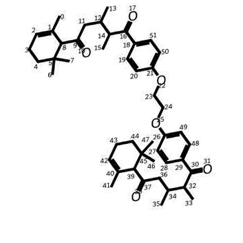 CC1=CCCC(C)(C)C1C(=O)CC(C)C(C)C(=O)c1ccc(OCCOc2ccc(C(=O)C(C)C(C)CC(=O)C3C(C)=CCCC3(C)C)cc2)cc1